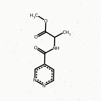 COC(=O)C(C)NC(=O)c1ccnnc1